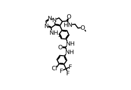 COCCNC(=O)C1CN2N=CN=C(N)C2=C1c1ccc(NC(=O)Nc2ccc(Cl)c(C(F)(F)F)c2)cc1